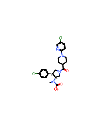 CN(C(=O)O)[C@@H]1CN(C(=O)C2CCN(c3ccc(Cl)cn3)CC2)C[C@H]1c1ccc(Cl)cc1